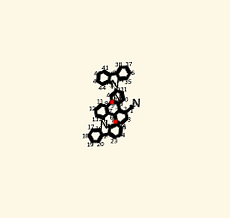 N#Cc1cccc(-c2c(C#N)cccc2-n2c3ccccc3c3ccccc32)c1-c1ccc(-n2c3ccccc3c3ccccc32)cc1